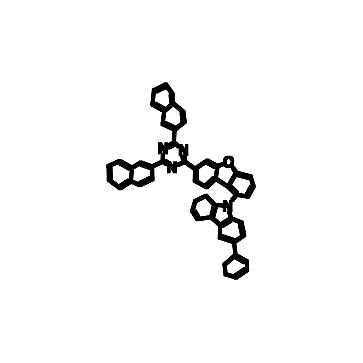 C1=CCCC(c2ccc3c(c2)c2c(n3-c3cccc4oc5cc(-c6nc(-c7ccc8ccccc8c7)nc(-c7ccc8ccccc8c7)n6)ccc5c34)CCC=C2)=C1